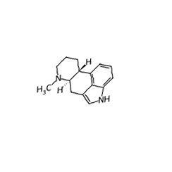 CN1CCC[C@@H]2c3cccc4[nH]cc(c34)C[C@H]21